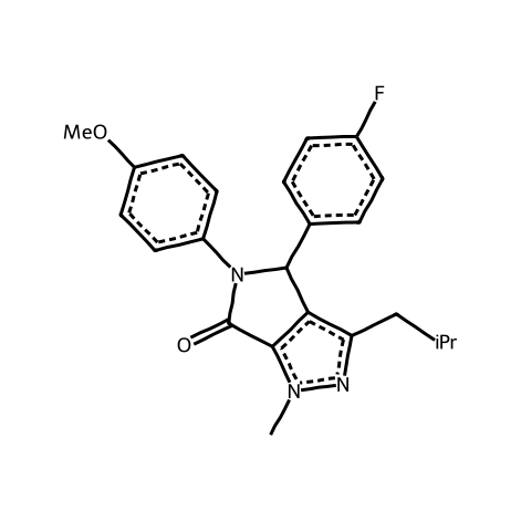 COc1ccc(N2C(=O)c3c(c(CC(C)C)nn3C)C2c2ccc(F)cc2)cc1